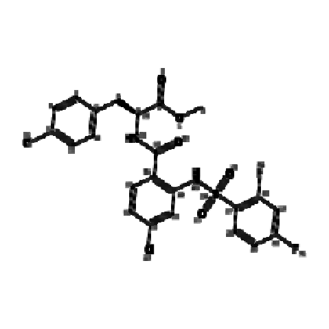 COC(=O)[C@H](Cc1ccc(Cl)cc1)NC(=O)c1ccc(Cl)cc1NS(=O)(=O)c1ccc(F)cc1F